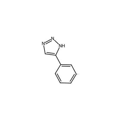 [c]1cccc(-c2cnn[nH]2)c1